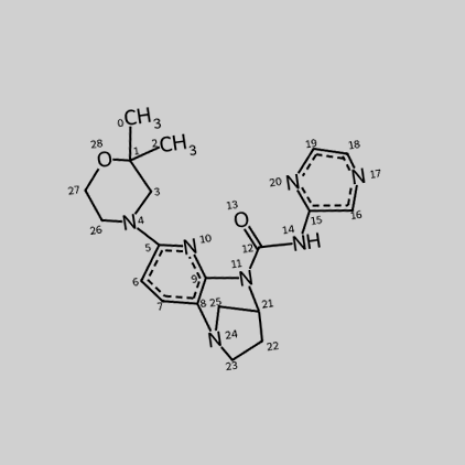 CC1(C)CN(c2ccc3c(n2)N(C(=O)Nc2cnccn2)C2CCN3C2)CCO1